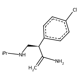 C=C(N)[C@@H](CNC(C)C)c1ccc(Cl)cc1